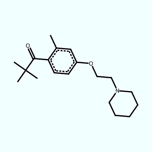 Cc1cc(OCCN2CCCCC2)ccc1C(=O)C(C)(C)C